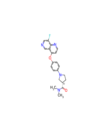 CN(C)C(=O)[C@H]1CCN(c2ccc(Oc3ccnc4c(F)cncc34)cc2)C1